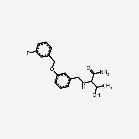 CC(O)C(NCc1cccc(OCc2cccc(F)c2)c1)C(N)=O